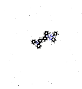 C=N/C(=C1/C=CC=C/C1=N/Cn1c2ccccc2c2cc(-c3ccc4c(c3)c3c(n4-c4ccccc4)CCC=C3)ccc21)c1ccccc1